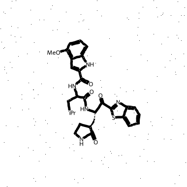 COc1cccc2[nH]c(C(=O)NC(CC(C)C)C(=O)N[C@@H](C[C@@H]3CCNC3=O)C(=O)c3nc4ccccc4s3)cc12